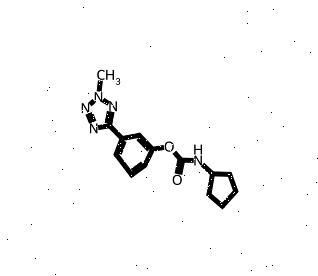 Cn1nnc(-c2cccc(OC(=O)NC3CCCC3)c2)n1